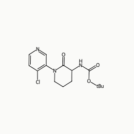 CC(C)(C)OC(=O)NC1CCCN(c2cnccc2Cl)C1=O